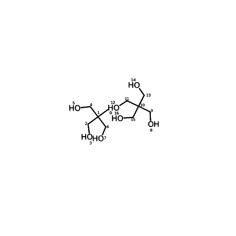 CC(CO)(CO)CO.OCC(CO)(CO)CO